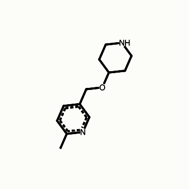 Cc1ccc(COC2CCNCC2)cn1